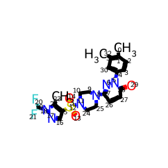 Cc1ccc(-n2nc(N3CCN(S(=O)(=O)c4cnn(C(F)F)c4C)CC3)ccc2=O)cc1C